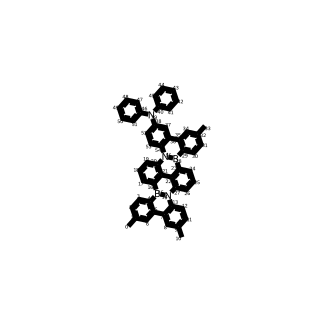 Cc1ccc2c(c1)-c1cc(C)ccc1N1B2c2cccc3c2-c2c(cccc21)B1c2ccc(C)cc2-c2cc(N(c4ccccc4)c4ccccc4)ccc2N13